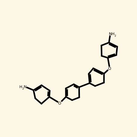 NC1=CC=C(OC2=CC=C(C3=CC=C(OC4=CC=C(N)CC4)CC3)CC2)CC1